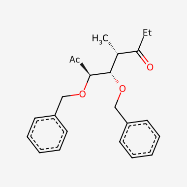 CCC(=O)[C@@H](C)[C@H](OCc1ccccc1)[C@@H](OCc1ccccc1)C(C)=O